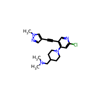 CN(C)CC1CCN(c2cc(Cl)ncc2C#Cc2cnn(C)c2)CC1